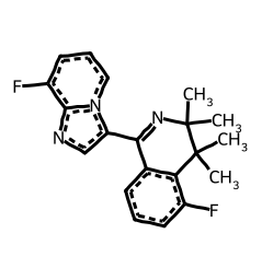 CC1(C)N=C(c2cnc3c(F)cccn23)c2cccc(F)c2C1(C)C